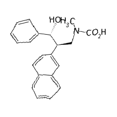 CN(C[C@@H](c1ccc2ccccc2c1)[C@@H](O)c1ccccc1)C(=O)O